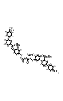 CCCC[C@H](Oc1ccc(CCC(=O)OC(=O)CCc2ccc(O[C@H](CCCC)c3cccc(-c4ccc(C(F)(F)F)cc4)n3)cc2OC)cc1F)c1cccc(-c2ccc(C(F)(F)F)cc2)n1